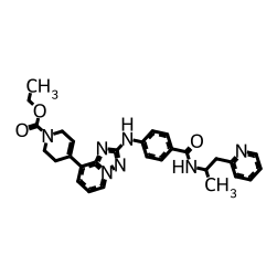 CCOC(=O)N1CC=C(c2cccn3nc(Nc4ccc(C(=O)NC(C)Cc5ccccn5)cc4)nc23)CC1